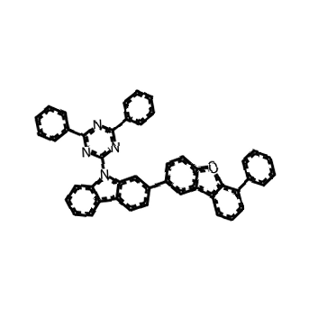 c1ccc(-c2nc(-c3ccccc3)nc(-n3c4ccccc4c4ccc(-c5ccc6oc7c(-c8ccccc8)cccc7c6c5)cc43)n2)cc1